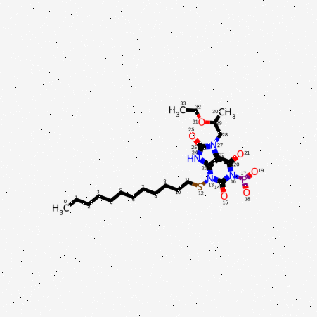 CCCCCCCCCCCCSn1c(=O)n(P(=O)=O)c(=O)c2c1[nH]c(=O)n2CC(C)OCC